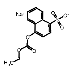 CCOC(=O)Oc1ccc(S(=O)(=O)[O-])c2ccccc12.[Na+]